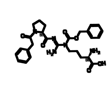 NC(=NC(=O)[C@@H]1CCCN1C(=O)Cc1ccccc1)N(CCC[C@H](N)C(=O)O)C(=O)OCc1ccccc1